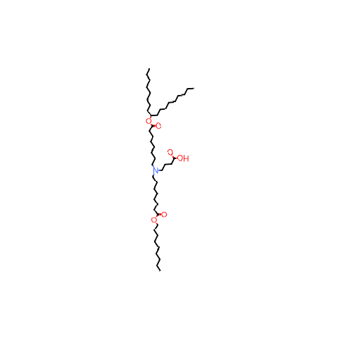 CCCCCCCCCOC(=O)CCCCCCCN(CCCCCCCC(=O)OC(CCCCCCCC)CCCCCCCCC)CCCC(=O)O